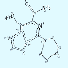 COc1c(C(N)=O)nc(N2CCOCC2)c2s[c]nc12